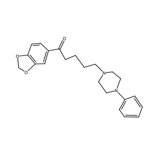 O=C(CCCCN1CCN(c2ccccc2)CC1)c1ccc2c(c1)OCO2